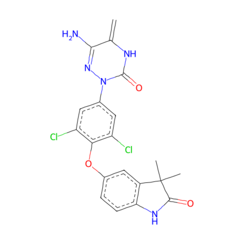 C=C1NC(=O)N(c2cc(Cl)c(Oc3ccc4c(c3)C(C)(C)C(=O)N4)c(Cl)c2)N=C1N